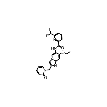 CCOc1cc2nc(Cn3ccccc3=O)cn2cc1NC(=O)c1cccc(C(F)F)n1